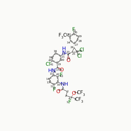 O=C(CCC(F)(OC(F)(F)F)C(F)(F)F)Nc1c(F)ccc(NC(=O)c2cc(NC(=O)[C@H]3[C@H](c4ccc(F)c(C(F)(F)F)c4)C3(Cl)Cl)ccc2Cl)c1F